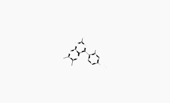 Cc1nc2nc(Cl)nc(-c3ccc(C#N)cc3F)c2nc1C